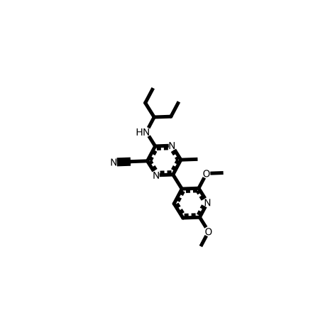 CCC(CC)Nc1nc(C)c(-c2ccc(OC)nc2OC)nc1C#N